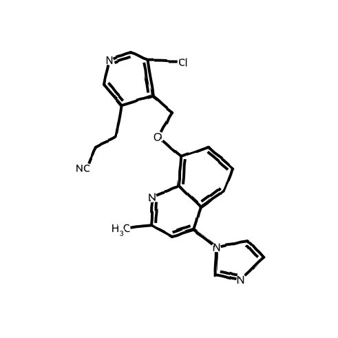 Cc1cc(-n2ccnc2)c2cccc(OCc3c(Cl)cncc3CCC#N)c2n1